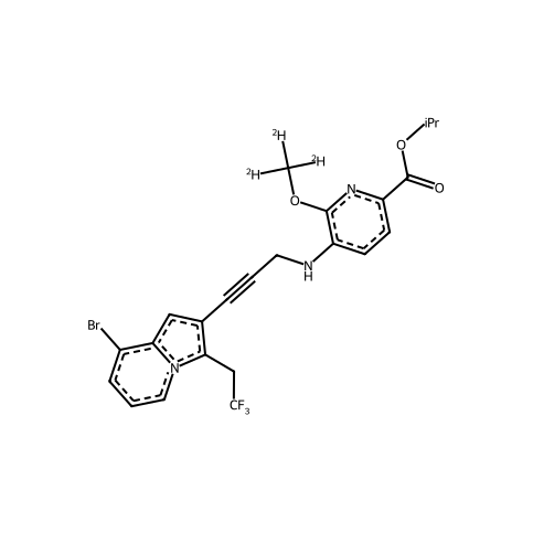 [2H]C([2H])([2H])Oc1nc(C(=O)OC(C)C)ccc1NCC#Cc1cc2c(Br)cccn2c1CC(F)(F)F